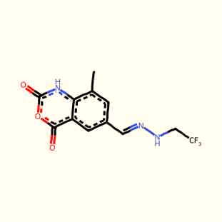 Cc1cc(/C=N/NCC(F)(F)F)cc2c(=O)oc(=O)[nH]c12